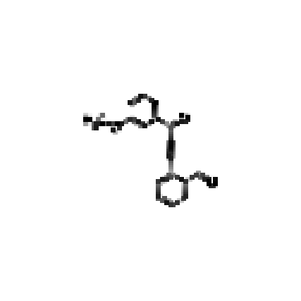 COc1cccc(C(=O)C#Cc2ccccc2C=O)c1